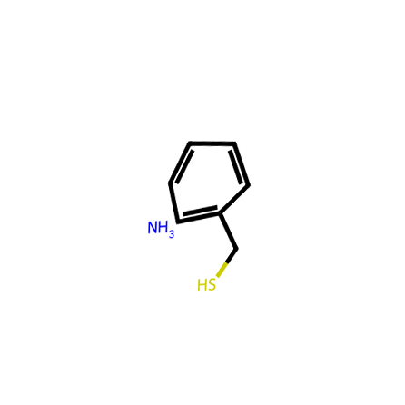 N.SCc1ccccc1